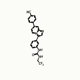 N#Cc1ccc(-c2ccn3c(-c4cccc(NC(=O)NCC(F)(F)F)c4)cnc3c2)cc1